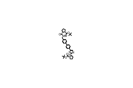 CC(C)(C)OC(=O)N1CCC[C@H]1C(=O)NCc1ccc(-c2ccc(-c3cnc([C@@H]4CCCN4C(=O)OC(C)(C)C)[nH]3)cc2)cc1